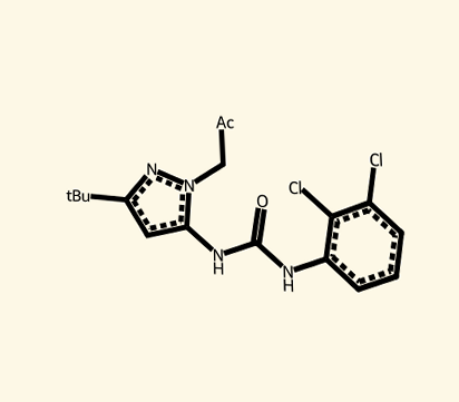 CC(=O)Cn1nc(C(C)(C)C)cc1NC(=O)Nc1cccc(Cl)c1Cl